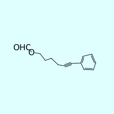 O=[C]OCCCCC#Cc1ccccc1